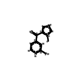 Cn1cncc1C(=O)c1ccnc(F)c1